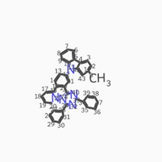 Cc1ccc2c3ccccc3n(-c3ccc(-c4ccccn4)c(-c4nc(-c5ccccc5)nc(-c5ccccc5)n4)c3)c2c1